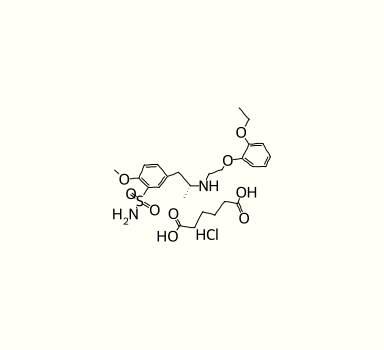 CCOc1ccccc1OCCN[C@H](C)Cc1ccc(OC)c(S(N)(=O)=O)c1.Cl.O=C(O)CCCCC(=O)O